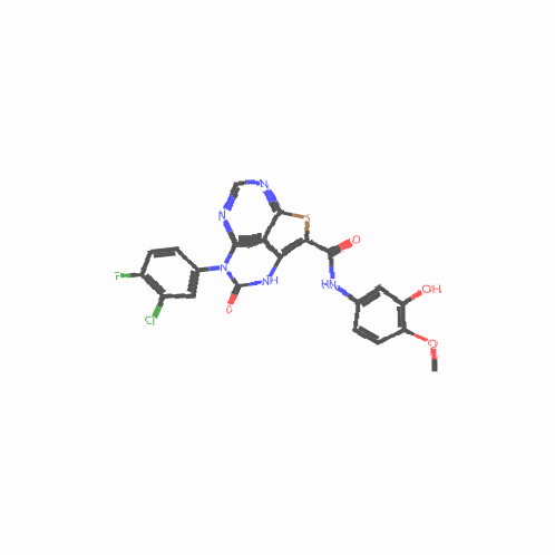 COc1ccc(NC(=O)c2sc3ncnc4c3c2NC(=O)N4c2ccc(F)c(Cl)c2)cc1O